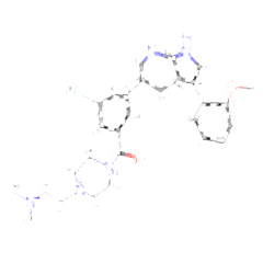 COc1ccccc1-c1c[nH]c2ncc(-c3cc(F)cc(C(=O)N4CCN(CCN(C)C)CC4)c3)cc12